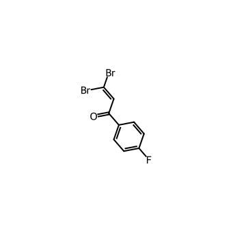 O=C(C=C(Br)Br)c1ccc(F)cc1